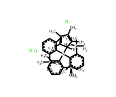 CC1=C(C)[C]([Ti+3])([Si](c2c(C)cccc2[Si](C)(C)C)(c2c(C)cccc2[Si](C)(C)C)c2c(C)cccc2[Si](C)(C)C)C(C)=C1C.[Cl-].[Cl-].[Cl-]